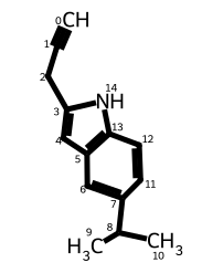 C#CCc1cc2cc(C(C)C)ccc2[nH]1